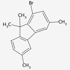 Cc1ccc2c(c1)-c1cc(C)cc(Br)c1C2(C)C